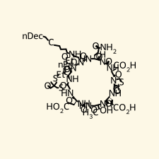 CCCCCCCCCCCCCCCCCC(=O)N[C@@H](CC)CN1C(=O)N[C@@H](CCC(N)=O)C(=O)NC(=O)N[C@@H](CC(=O)O)C(=O)N2CSC[C@H]2C(=O)N[C@H](CCC(=O)O)C(=O)NC([C@@H](C)O)C(=O)NC(=O)N[C@@H](CCC(=O)O)C(=O)N[C@H](CSCC2(CSCC)COC2)C(=O)N[C@@H](CC(C)C)C(=O)N(CCC)C1=O